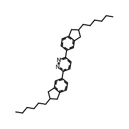 CCCCCCC1Cc2ccc(-c3ccc(-c4ccc5c(c4)CC(CCCCCC)C5)nn3)cc2C1